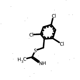 CC(=N)SCc1c(Cl)cc(Cl)cc1Cl